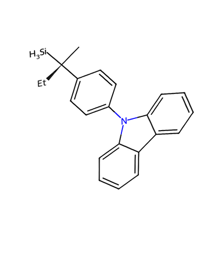 CC[C@](C)([SiH3])c1ccc(-n2c3ccccc3c3ccccc32)cc1